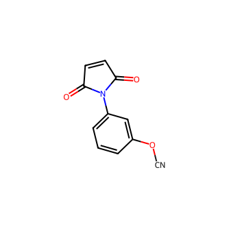 N#COc1cccc(N2C(=O)C=CC2=O)c1